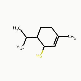 CC1=CC(S)C(C(C)C)CC1